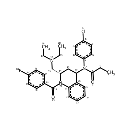 CCC(=O)N(c1ccc(Cl)cc1)C1C[C@@H](CN(CC)CC)N(C(=O)c2ccc(F)cc2)c2ccccc21